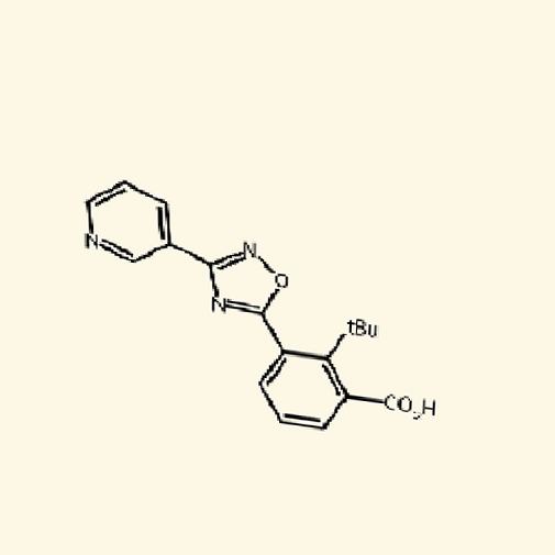 CC(C)(C)c1c(C(=O)O)cccc1-c1nc(-c2cccnc2)no1